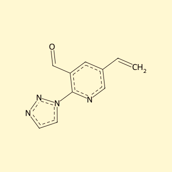 C=Cc1cnc(-n2ccnn2)c(C=O)c1